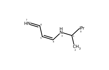 CC(C)C(C)N/C=C\C=N